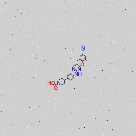 Cc1cc(C#N)cc(C)c1Oc1ccnc(Nc2ccc(C3CCN(C(=O)O)CC3)cc2)n1